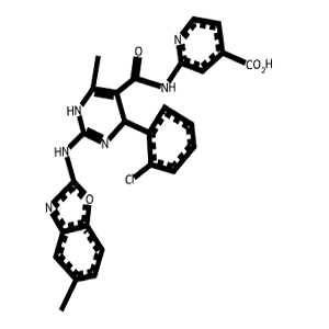 CC1=C(C(=O)Nc2cc(C(=O)O)ccn2)C(c2ccccc2Cl)N=C(Nc2nc3cc(C)ccc3o2)N1